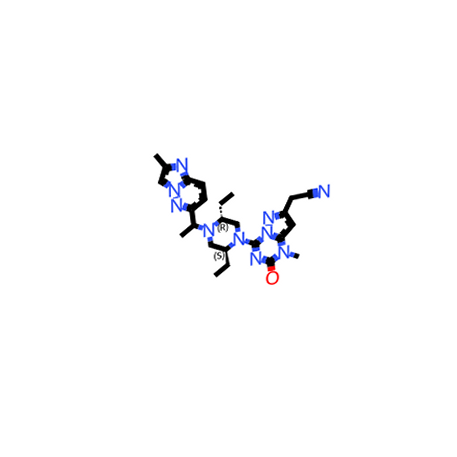 CC[C@H]1CN(C(C)c2ccc3nc(C)cn3n2)[C@H](CC)CN1c1nc(=O)n(C)c2cc(CC#N)nn12